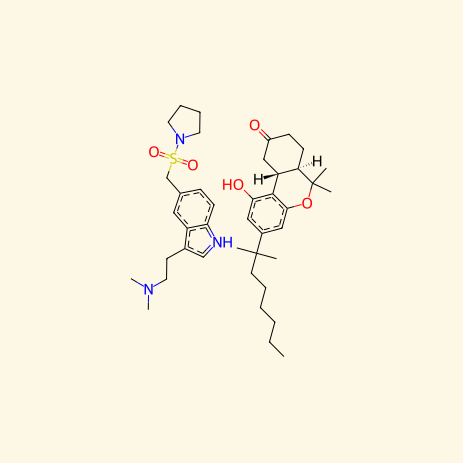 CCCCCCC(C)(C)c1cc(O)c2c(c1)OC(C)(C)[C@@H]1CCC(=O)C[C@@H]21.CN(C)CCc1c[nH]c2ccc(CS(=O)(=O)N3CCCC3)cc12